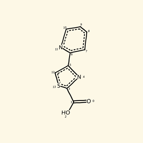 O=C(O)c1nc(-c2ccccn2)cs1